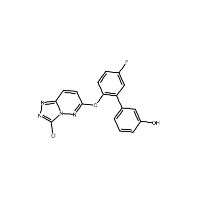 Oc1cccc(-c2cc(F)ccc2Oc2ccc3nnc(Cl)n3n2)c1